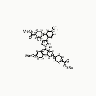 CC[C@H]1CN(C(=O)[C@]2(F)CN(C3CCN(C(=O)OC(C)(C)C)CC3)C[C@H]2c2ccc(OC)cc2)C[C@@H]1c1ccc(C(F)(F)F)cc1N1CCC(C(=O)OC)CC1